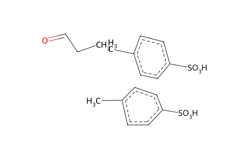 CCC=O.Cc1ccc(S(=O)(=O)O)cc1.Cc1ccc(S(=O)(=O)O)cc1